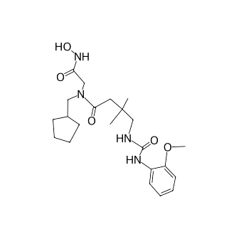 COc1ccccc1NC(=O)NCC(C)(C)CC(=O)N(CC(=O)NO)CC1CCCC1